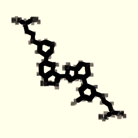 CN(C)CCOc1cncc(-c2ccc3[nH]nc(-c4cc5c(-c6cc(F)cc(OCCN(C)C)c6)cncc5[nH]4)c3n2)c1